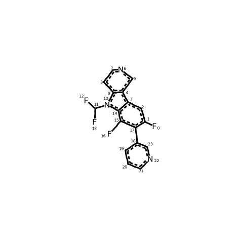 Fc1cc2c3cnccc3n(C(F)F)c2c(F)c1-c1cccnc1